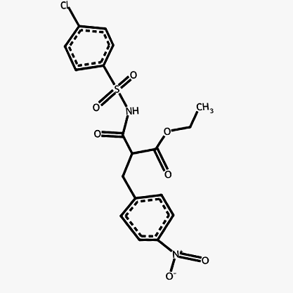 CCOC(=O)C(Cc1ccc([N+](=O)[O-])cc1)C(=O)NS(=O)(=O)c1ccc(Cl)cc1